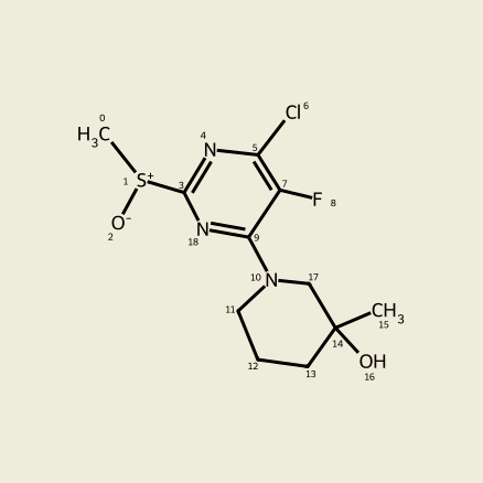 C[S+]([O-])c1nc(Cl)c(F)c(N2CCCC(C)(O)C2)n1